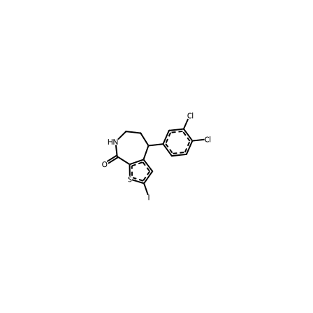 O=C1NCCC(c2ccc(Cl)c(Cl)c2)c2cc(I)sc21